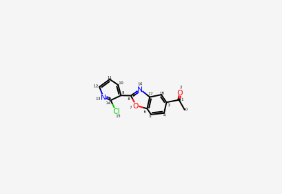 CC(=O)c1ccc2oc(-c3cccnc3Cl)nc2c1